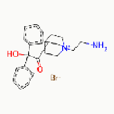 NCC[N+]12CCC(CC1)C(C(=O)C(O)(c1ccccc1)c1ccccc1)C2.[Br-]